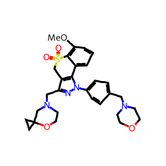 COc1cccc2c1S(=O)(=O)Cc1c(CN3CCOC4(CC4)C3)nn(-c3ccc(CN4CCOCC4)cc3)c1-2